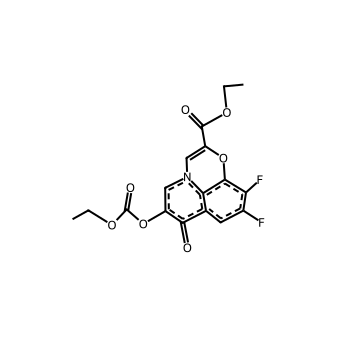 CCOC(=O)Oc1cn2c3c(c(F)c(F)cc3c1=O)OC(C(=O)OCC)=C2